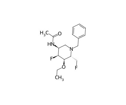 CCO[C@H]1[C@@H](F)[C@@H](NC(C)=O)CN(Cc2ccccc2)[C@@H]1CF